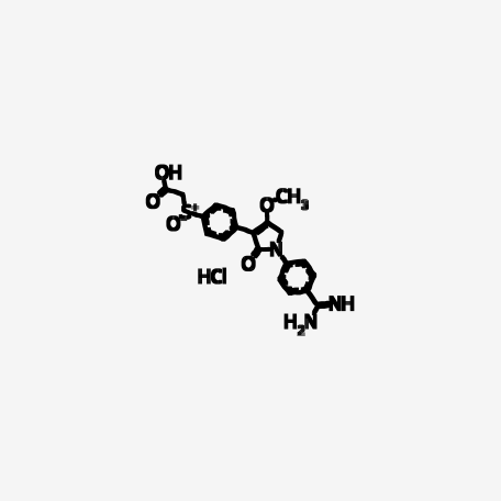 COC1=C(c2ccc([S+]([O-])CC(=O)O)cc2)C(=O)N(c2ccc(C(=N)N)cc2)C1.Cl